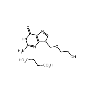 Nc1nc2c(ncn2COCCO)c(=O)[nH]1.O=C(O)CCC(=O)O